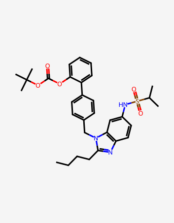 CCCCc1nc2ccc(NS(=O)(=O)C(C)C)cc2n1Cc1ccc(-c2ccccc2OC(=O)OC(C)(C)C)cc1